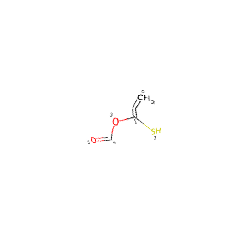 C=C(S)OC=O